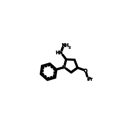 CC(C)OC1CC(NN)N(c2ccccc2)C1